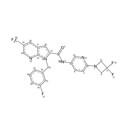 O=C(Nc1ccc(N2CC(F)(F)C2)nc1)c1cc2cc(C(F)(F)F)cnc2n1Cc1cccc(F)c1